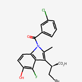 CCC(C)C[C@H](C(=O)O)c1c(C)n(C(=O)c2cccc(Cl)c2)c2ccc(O)c(F)c12